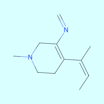 C=NC1=C(/C(C)=C\C)CCN(C)C1